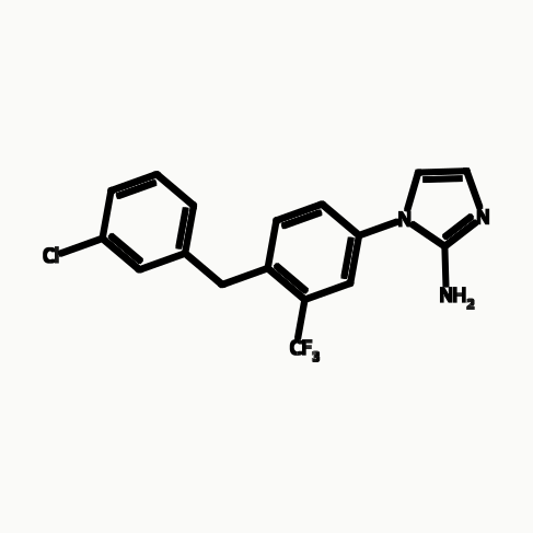 Nc1nccn1-c1ccc(Cc2cccc(Cl)c2)c(C(F)(F)F)c1